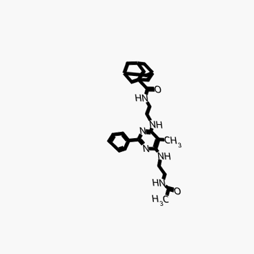 CC(=O)NCCNc1nc(-c2ccccc2)nc(NCCNC(=O)C23CC4CC(CC(C4)C2)C3)c1C